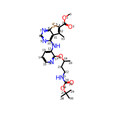 COC(=O)c1sc2ncnc(Nc3cccnc3OC(C)CCNC(=O)OC(C)(C)C)c2c1C